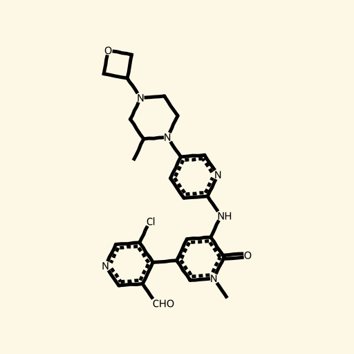 CC1CN(C2COC2)CCN1c1ccc(Nc2cc(-c3c(Cl)cncc3C=O)cn(C)c2=O)nc1